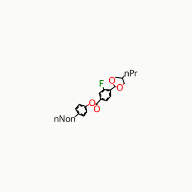 CCCCCCCCCc1ccc(OC(=O)c2ccc(C3OCC(CCC)CO3)c(F)c2)cc1